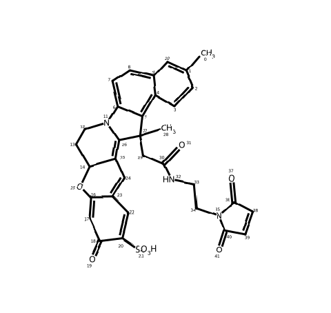 Cc1ccc2c3c(ccc2c1)N1CCC2OC4=CC(=O)C(S(=O)(=O)O)=CC4=CC2=C1C3(C)CC(=O)NCCN1C(=O)C=CC1=O